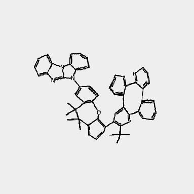 CC(C)(C)c1cc2c(cc1-c1cccc3c1Oc1ccc(-n4c5ccccc5n5c6ccccc6nc45)cc1C(C)(C)C3(C)C)-c1ccccc1-c1ncccc1-c1ccccc1-2